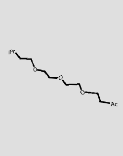 CC(=O)CCOCCOCCOCCC(C)C